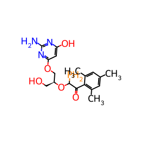 Cc1cc(C)c(C(=O)C(P)O[C@@H](CO)COc2cc(O)nc(N)n2)c(C)c1